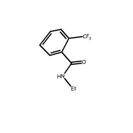 CCNC(=O)c1ccccc1C(F)(F)F